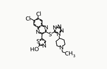 CCN1CCC(n2nnnc2Sc2nc3cc(Cl)c(Cl)cc3nc2-c2cnc(O)s2)CC1